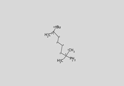 C=C(CCCCC(C)(C)P)C(C)(C)C